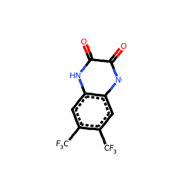 O=C1[N]c2cc(C(F)(F)F)c(C(F)(F)F)cc2NC1=O